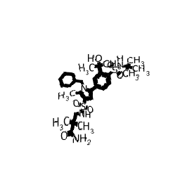 Cc1c(S(=O)(=O)NCC(C)(C)C(N)=O)cc(-c2ccc(S(=O)(=O)NC(C)(C)C)c(C(C)(C)O)c2)n1CC1CCCCC1